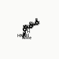 CNC(=N)N/N=C/c1ccc2ncnc(Nc3ccc(OCc4cccc(F)c4)c(Cl)c3)c2c1